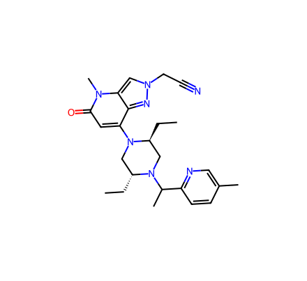 CC[C@H]1CN(C(C)c2ccc(C)cn2)[C@H](CC)CN1c1cc(=O)n(C)c2cn(CC#N)nc12